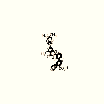 Cc1nc(N2CC3(C2)OCC(C)(C)CO3)cc(Cl)c1C(=O)N1COc2c(cccc2-c2cc(N3C4CCC3COC4)c(C(=O)O)cc2F)C1